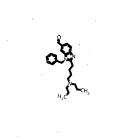 CCCN(CCC)CCCCc1nc2ccc(C=O)cc2n1Cc1ccccc1